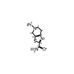 CC(C)N1CCc2nc(C(N)=O)sc2C1